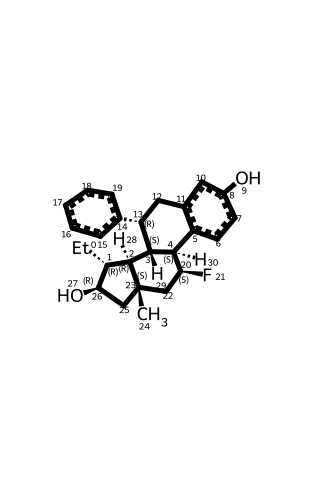 CC[C@@H]1[C@H]2[C@H]3[C@@H](c4ccc(O)cc4C[C@H]3c3ccccc3)[C@@H](F)C[C@]2(C)C[C@H]1O